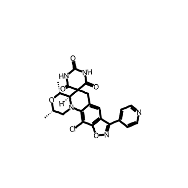 C[C@H]1CN2c3c(cc4c(-c5ccncc5)noc4c3Cl)CC3(C(=O)NC(=O)NC3=O)[C@@H]2[C@@H](C)O1